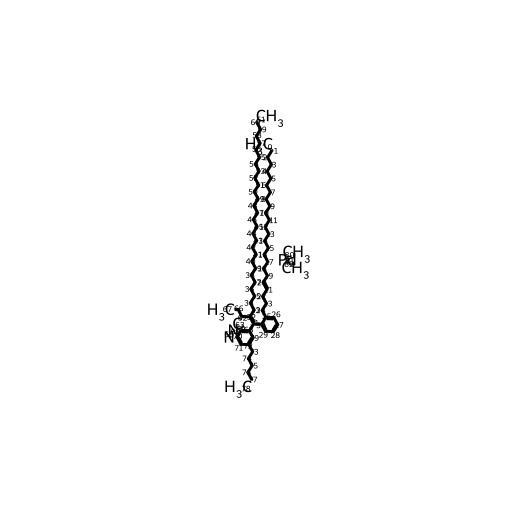 CCCCCCCCCCCCCCCCCCCCC=CCCCc1ccccc1C(=C(CCCCCCCCCCCCCCCCCCCCCCCCCCCCC)C(=C=[N+]=[N-])CC)c1cccc(CCCCCC)c1.[CH3][Pd][CH3]